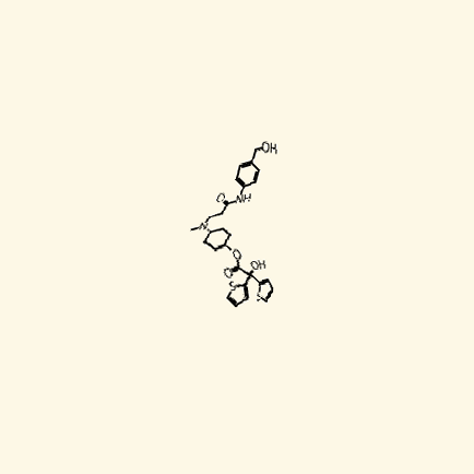 CN(CCC(=O)Nc1ccc(CO)cc1)[C@H]1CC[C@H](OC(=O)C(O)(c2cccs2)c2cccs2)CC1